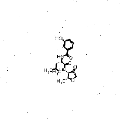 CC(C)C[C@H](NC(=O)c1cccc(O)c1)C(=O)N[C@@H]1C(=O)CO[C@@H]1C